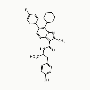 Cc1nn2c(C3CCCCC3)c(-c3ccc(F)cc3)cnc2c1C(=O)NC(Cc1ccc(O)cc1)C(=O)O